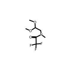 COC(CN(C)C(=O)C(F)(F)F)OC